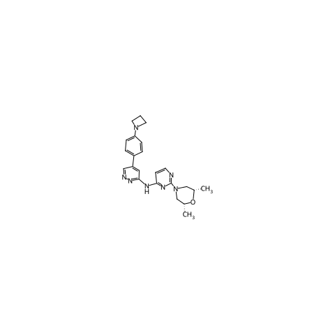 C[C@@H]1CN(c2nccc(Nc3cc(-c4ccc(N5CCC5)cc4)cnn3)n2)C[C@H](C)O1